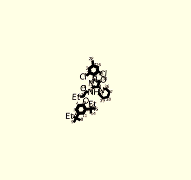 CCC(Oc1ccc(C(C)(C)CC)cc1C(C)(C)CC)C(=O)NC1=NN(c2c(Cl)cc(C)cc2Cl)C(=O)C1N1CCCCC1